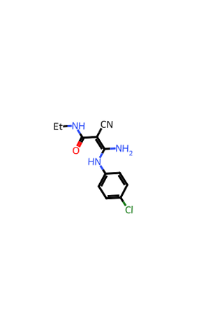 CCNC(=O)C(C#N)=C(N)Nc1ccc(Cl)cc1